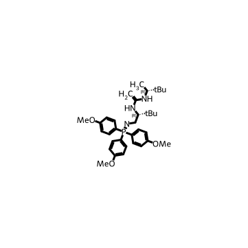 C=C(N[C@@H](CN=P(c1ccc(OC)cc1)(c1ccc(OC)cc1)c1ccc(OC)cc1)C(C)(C)C)N[C@H](C)C(C)(C)C